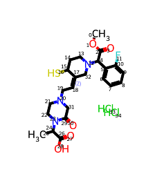 COC(=O)C(c1ccccc1F)N1CCC(S)/C(=C\CN2CCN(C(C)C(=O)O)C(=O)C2)C1.Cl.Cl